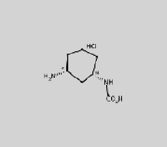 Cl.N[C@@H]1CCC[C@H](NC(=O)O)C1